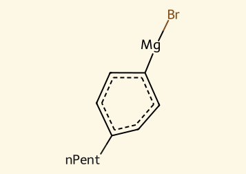 CCCCCc1cc[c]([Mg][Br])cc1